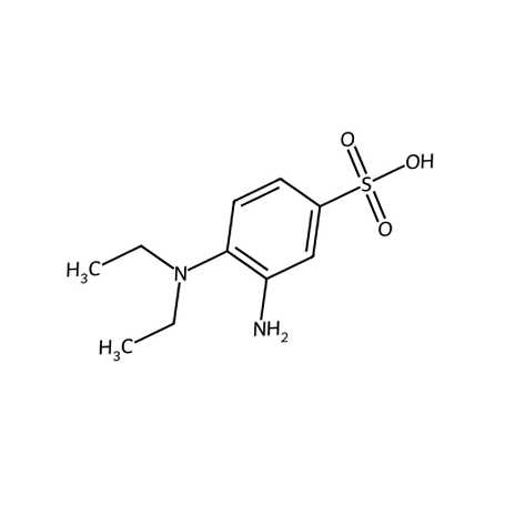 CCN(CC)c1ccc(S(=O)(=O)O)cc1N